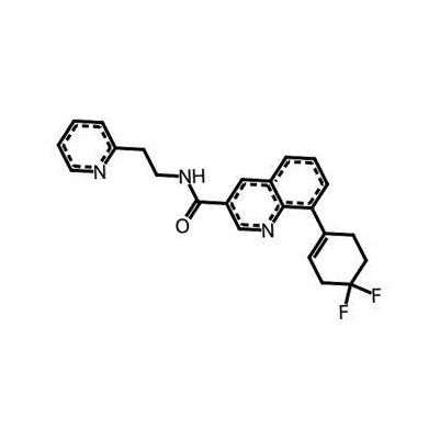 O=C(NCCc1ccccn1)c1cnc2c(C3=CCC(F)(F)CC3)cccc2c1